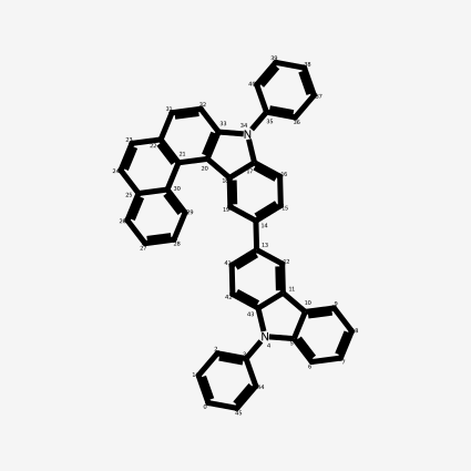 c1ccc(-n2c3ccccc3c3cc(-c4ccc5c(c4)c4c6c(ccc7ccccc76)ccc4n5-c4ccccc4)ccc32)cc1